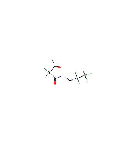 CC(F)(C(N)=O)C(=O)NCC(F)(F)C(F)(F)F